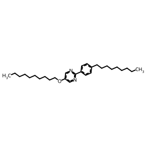 CCCCCCCCCCOc1cnc(-c2ccc(CCCCCCCCC)cc2)nc1